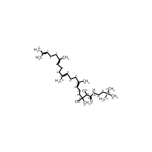 CC(C)=CCCC(C)=CCCC(C)=CCCC(C)=CCCC(C)(Cl)C(Cl)C(=O)NCC[N+](C)(C)C